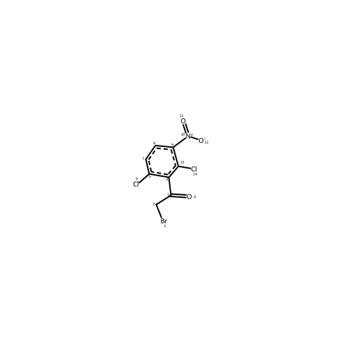 O=C(CBr)c1c(Cl)ccc([N+](=O)[O-])c1Cl